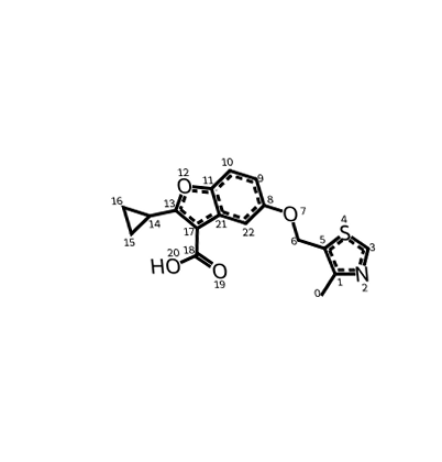 Cc1ncsc1COc1ccc2oc(C3CC3)c(C(=O)O)c2c1